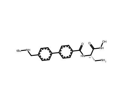 CC(C)(C)NCc1ccc(-c2ccc(C(=O)N[C@@H](CN)C(=O)NO)cc2)cc1